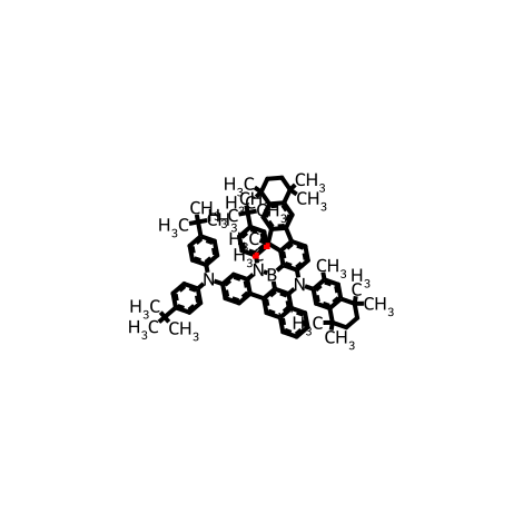 Cc1cc2c(cc1N1c3ccc4c(c3B3c5c(cc6ccccc6c51)-c1ccc(N(c5ccc(C(C)(C)C)cc5)c5ccc(C(C)(C)C)cc5)cc1N3c1ccc(C(C)(C)C)cc1)C(C)(C)c1cc3c(cc1-4)C(C)(C)CCC3(C)C)C(C)(C)CCC2(C)C